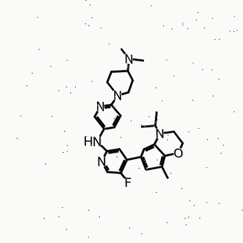 Cc1cc(-c2cc(Nc3ccc(N4CCC(N(C)C)CC4)nc3)ncc2F)cc2c1OCCN2C(C)C